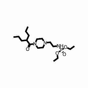 CCCC(CCC)C(=O)N1CCN(CCNP(=O)(OCC)OCC)CC1